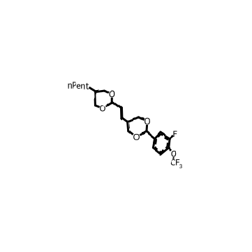 CCCCCC1COC(CCC2COC(c3ccc(OC(F)(F)F)c(F)c3)OC2)OC1